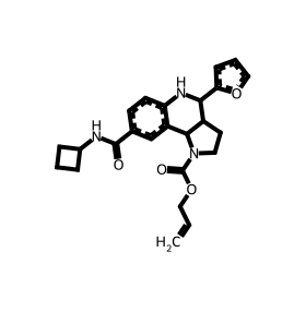 C=CCOC(=O)N1CCC2C(c3ccco3)Nc3ccc(C(=O)NC4CCC4)cc3C21